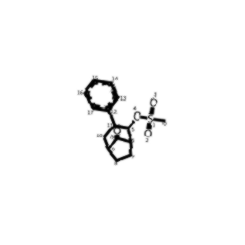 CS(=O)(=O)OC1C2CCC(CC1c1ccccc1)C2=O